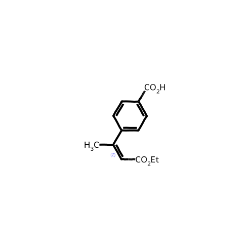 CCOC(=O)/C=C(/C)c1ccc(C(=O)O)cc1